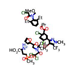 CC(C)OC(=O)c1cc(-c2nn(C)c(C(F)(F)F)c2Br)c(F)cc1Cl.CC1(C)OC(c2ccco2)CN1C(=O)C(Cl)Cl.CCc1cccc(CC)c1N(COC)C(=O)CCl.CP(=O)(O)CCC(N)C(=O)O